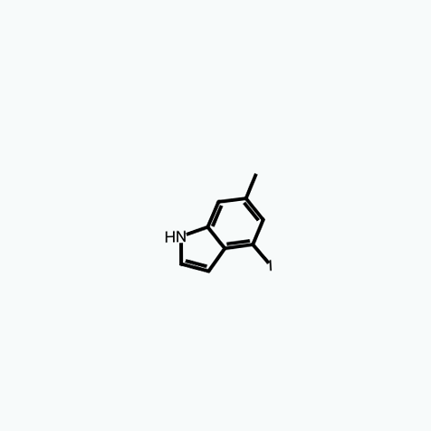 Cc1cc(I)c2cc[nH]c2c1